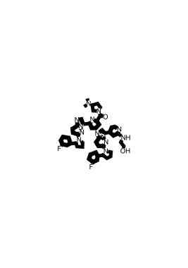 CN(C)[C@@H]1CCN(C(=O)c2cccc(-c3cnc4ccc(N5CCCC5c5cccc(F)c5)nn34)n2)C1.OCCNc1cc(-c2cnc3ccc(N4CCCC4c4cccc(F)c4)nn23)ccn1